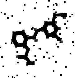 O=C(O)Cc1ccccc1OCc1cc(Br)cc(CO)c1